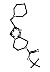 CC(C)(C)OC(=O)N1CCn2cc(CN3CCCCC3)nc2C1